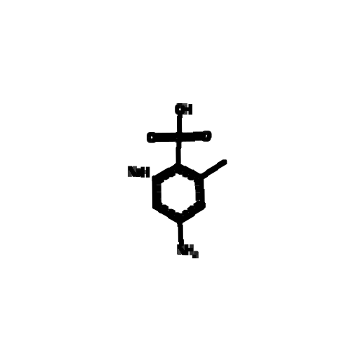 Cc1cc(N)ccc1S(=O)(=O)O.[NaH]